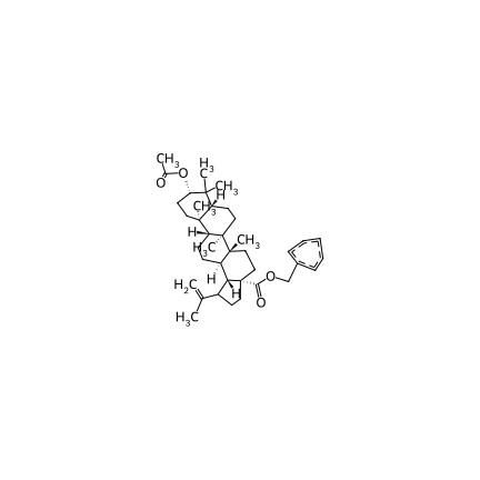 C=C(C)C1CC[C@]2(C(=O)OCc3ccccc3)CC[C@]3(C)[C@H](CC[C@@H]4[C@@]5(C)CC[C@H](OC(C)=O)C(C)(C)[C@@H]5CC[C@]43C)[C@@H]12